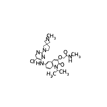 CNC(=O)COc1cc2cc(Nc3nc(N4CCC5(CN(C)C5)C4)ncc3Cl)ccc2n(C(C)C)c1=O